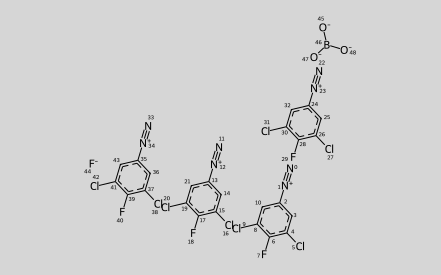 N#[N+]c1cc(Cl)c(F)c(Cl)c1.N#[N+]c1cc(Cl)c(F)c(Cl)c1.N#[N+]c1cc(Cl)c(F)c(Cl)c1.N#[N+]c1cc(Cl)c(F)c(Cl)c1.[F-].[O-]B([O-])[O-]